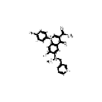 CN(Cc1cccnc1)c1cc2c(=O)c(C(N)=O)cn(-c3ccc(F)cc3)c2cc1F